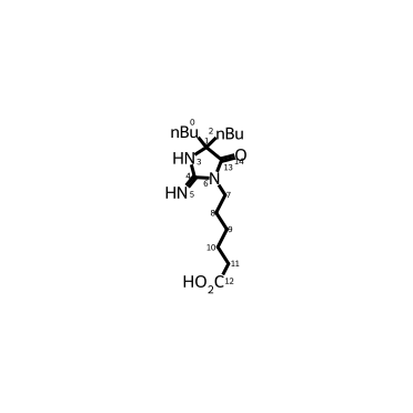 CCCCC1(CCCC)NC(=N)N(CCCCCC(=O)O)C1=O